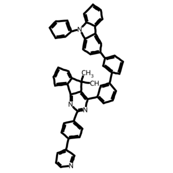 CC1(C)c2ccccc2-c2nc(-c3ccc(-c4cccnc4)cc3)nc(-c3cccc(-c4cccc(-c5ccc6c(c5)c5ccccc5n6-c5ccccc5)c4)c3)c21